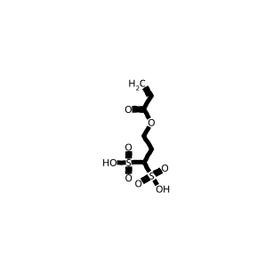 C=CC(=O)OCCC(S(=O)(=O)O)S(=O)(=O)O